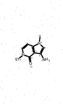 CCn1ccc2c(c(N)cn2C)c1=O